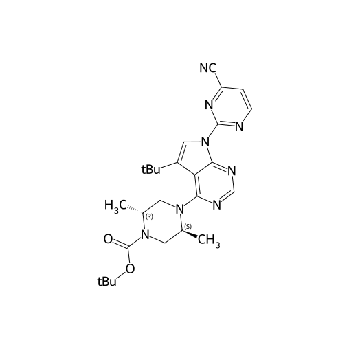 C[C@@H]1CN(c2ncnc3c2c(C(C)(C)C)cn3-c2nccc(C#N)n2)[C@@H](C)CN1C(=O)OC(C)(C)C